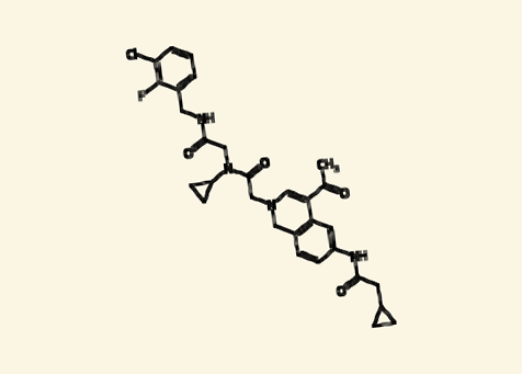 CC(=O)C1=CN(CC(=O)N(CC(=O)NCc2cccc(Cl)c2F)C2CC2)Cc2ccc(NC(=O)CC3CC3)cc21